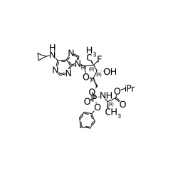 CC(C)OC(=O)[C@@H](C)N[P@](=O)(OC[C@H]1O[C@@H](n2cnc3c(NC4CC4)ncnc32)[C@](C)(F)[C@@H]1O)Oc1ccccc1